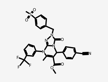 COC(=O)C1=C(C)N(c2cccc(C(F)(F)F)c2)c2nn(Cc3ccc(S(C)(=O)=O)cc3)c(=O)n2C1c1ccc(C#N)cc1